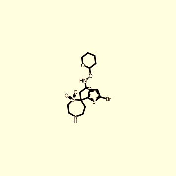 O=C(CC1(c2ccc(Br)s2)CCNCCS1(=O)=O)NOC1CCCCO1